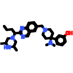 CCCC(c1ncc2cc(CN3CCC(c4cccc(O)c4)(N(C)C)CC3)ccc2n1)N1CC(C)NC(C)C1